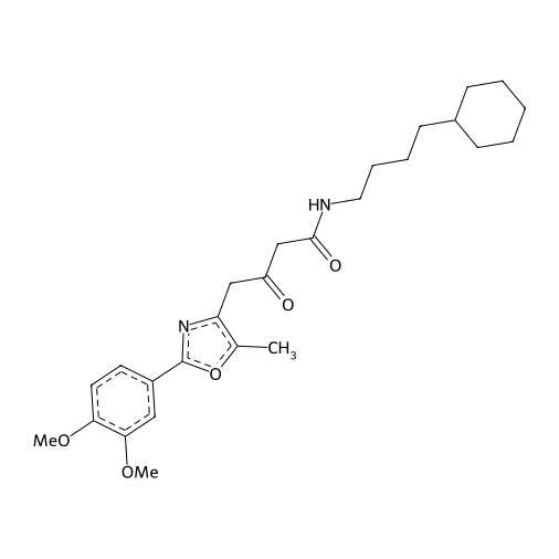 COc1ccc(-c2nc(CC(=O)CC(=O)NCCCCC3CCCCC3)c(C)o2)cc1OC